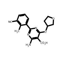 Cc1c(C#N)cccc1-c1nc(N)c(C(=O)O)c(OC2CCOC2)n1